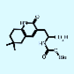 CC1(C)CCc2[nH]c(=O)c(CC(NC(=O)OC(C)(C)C)C(=O)O)cc2C1